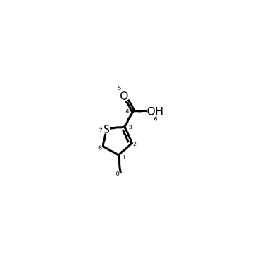 CC1C=C(C(=O)O)SC1